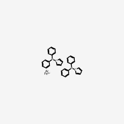 [Ar].[Fe+2].c1ccc(P(c2ccccc2)[c-]2cccc2)cc1.c1ccc(P(c2ccccc2)[c-]2cccc2)cc1